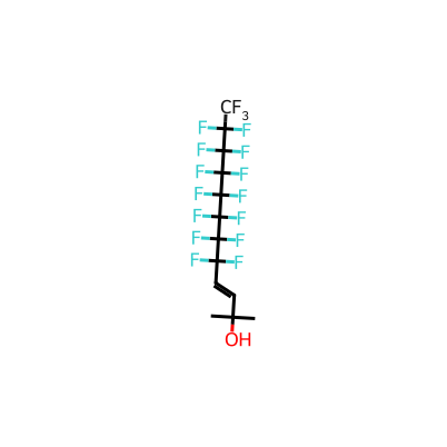 CC(C)(O)C=CC(F)(F)C(F)(F)C(F)(F)C(F)(F)C(F)(F)C(F)(F)C(F)(F)C(F)(F)F